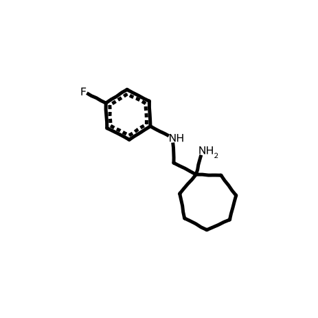 NC1(CNc2ccc(F)cc2)CCCCCC1